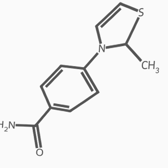 CC1SC=CN1c1ccc(C(N)=O)cc1